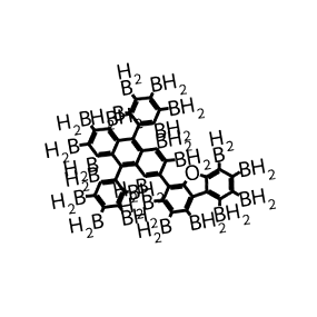 Bc1c(B)c(B)c(-c2c3c(B)c(B)c(B)c(B)c3c(-c3c(B)c(B)c(B)c(B)c3B)c3c(B)c(-c4c(B)c(B)c(B)c5c4oc4c(B)c(B)c(B)c(B)c45)c(B)c(B)c23)c(B)c1B